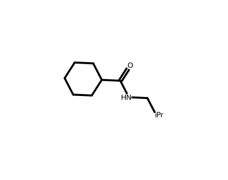 CC(C)CNC(=O)C1CCCCC1